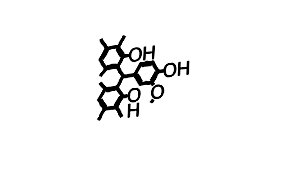 COc1cc(C(c2c(C)cc(C)c(C)c2O)c2c(C)cc(C)c(C)c2O)ccc1O